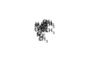 CC(=O)c1cnc2c(c1N1C[C@@H](C)[C@H](O[Si](C)(C)C(C)(C)C)[C@@H](C)C1)CC[C@H]2C